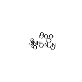 CCS(=O)(=O)NC(=O)c1ccc(N(Cc2cccnc2)c2ccc(OC)c(OC3CCCO3)c2)cc1